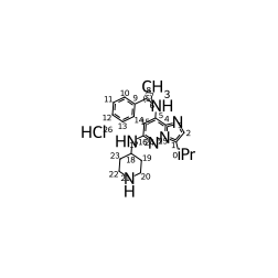 CC(C)c1cnc2c(N[C@@H](C)c3ccccc3)cc(NC3CCNCC3)nn12.Cl